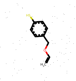 C=COCc1ccc(S)cc1